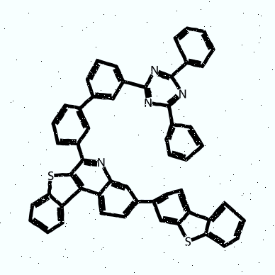 c1ccc(-c2nc(-c3ccccc3)nc(-c3cccc(-c4cccc(-c5nc6cc(-c7ccc8c(c7)sc7ccccc78)ccc6c6c5sc5ccccc56)c4)c3)n2)cc1